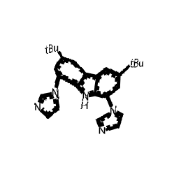 CC(C)(C)c1cc(-n2ccnc2)c2[nH]c3c(-n4ccnc4)cc(C(C)(C)C)cc3c2c1